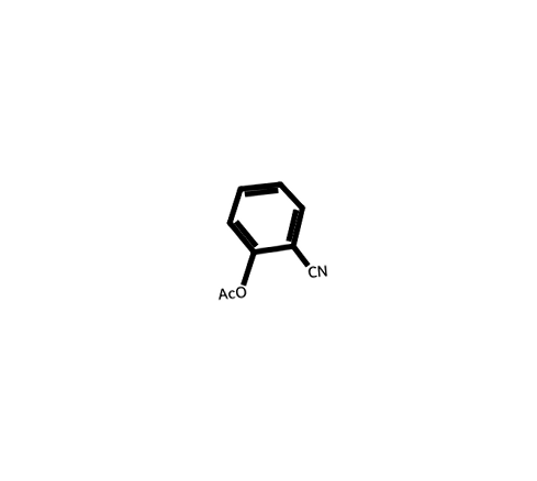 CC(=O)Oc1ccccc1C#N